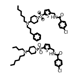 CCCCCCN(CCCC)C1CCN(S(=O)(=O)c2ccc(CNC(=O)c3ccc(Cl)cc3)s2)CC1.CCCCCCN(CCCc1ccccc1)C1CCN(S(=O)(=O)c2ccc(CNC(=O)c3ccc(Cl)cc3)s2)CC1